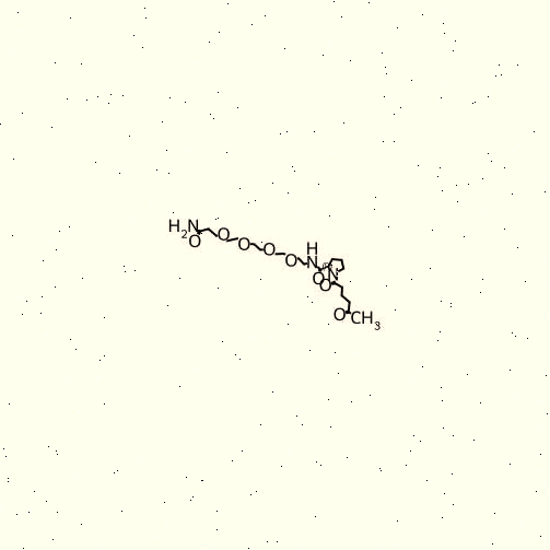 CC(=O)CCCC(=O)N1CCC[C@@H]1C(=O)NCCOCCOCCOCCOCCC(N)=O